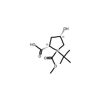 COC(=O)[N+]1(C(C)(C)C)C[C@@H](O)C[C@H]1C(=O)O